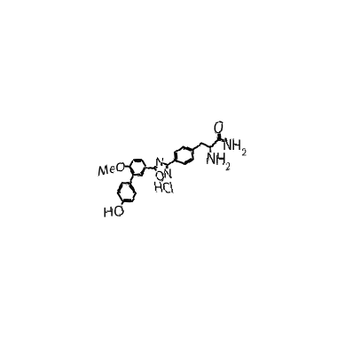 COc1ccc(-c2nc(-c3ccc(C[C@H](N)C(N)=O)cc3)no2)cc1-c1ccc(O)cc1.Cl